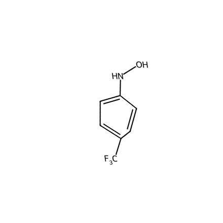 ONc1ccc(C(F)(F)F)cc1